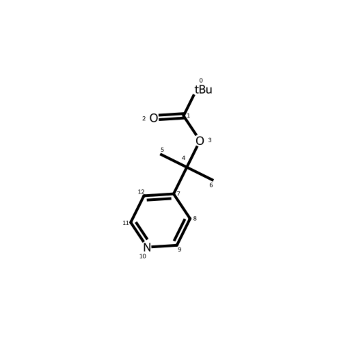 CC(C)(C)C(=O)OC(C)(C)c1ccncc1